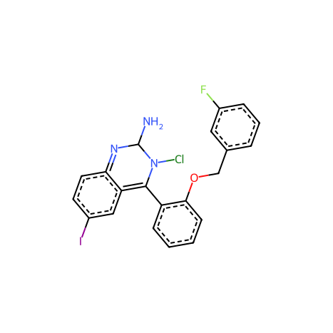 NC1N=c2ccc(I)cc2=C(c2ccccc2OCc2cccc(F)c2)N1Cl